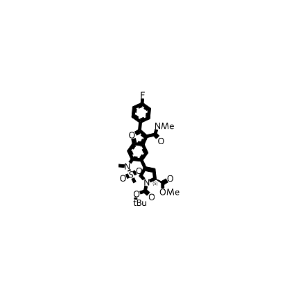 CNC(=O)c1c(-c2ccc(F)cc2)oc2cc(N(C)S(C)(=O)=O)c(C3=C[C@@H](C(=O)OC)N(C(=O)OC(C)(C)C)C3)cc12